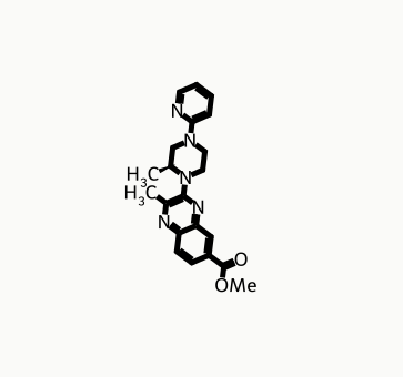 COC(=O)c1ccc2nc(C)c(N3CCN(c4ccccn4)C[C@@H]3C)nc2c1